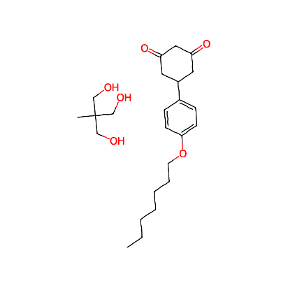 CC(CO)(CO)CO.CCCCCCCOc1ccc(C2CC(=O)CC(=O)C2)cc1